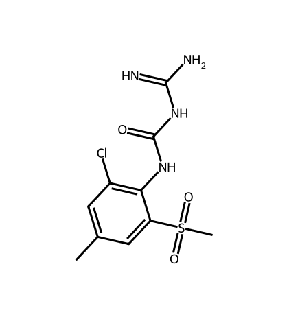 Cc1cc(Cl)c(NC(=O)NC(=N)N)c(S(C)(=O)=O)c1